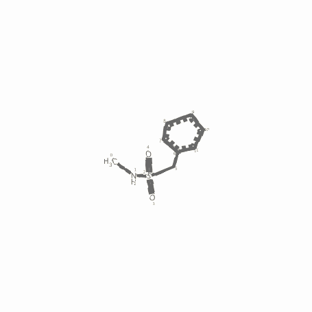 CNS(=O)(=O)Cc1[c]cccc1